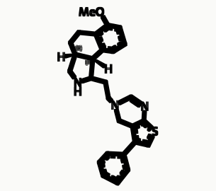 COc1cccc2c1CC[C@H]1CNC(CCN3C=Nc4scc(-c5ccccc5)c4C3)[C@@H]21